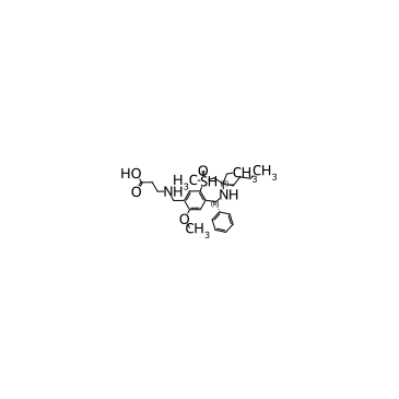 CCCC[C@]1(CC)C[SH](C)(=O)c2cc(CNCCC(=O)O)c(OC)cc2[C@@H](c2ccccc2)N1